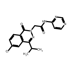 CC(C)c1nn(CC(=O)Nc2ccncn2)c(=O)c2ccc(Cl)cc12